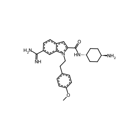 COc1ccc(CCn2c(C(=O)N[C@H]3CC[C@H](N)CC3)cc3ccc(C(=N)N)cc32)cc1